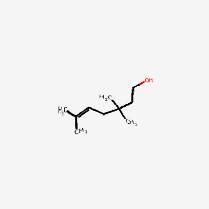 CC(C)=C[CH]C(C)(C)CCO